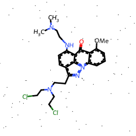 COc1cccc2c1c(=O)c1c(NCCN(C)C)ccc3c(CCN(CCCl)CCCl)nn2c31